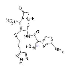 Nc1nc(/C(=N/O)C(=O)NC2S[C@@H]3CC(=O)N3C(C(=O)O)=C2SCCc2cn[nH]c2)cs1